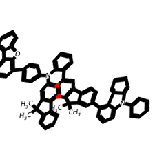 CC1(C)c2ccc(-c3ccccc3N(c3ccc(-c4cccc5c4oc4ccccc45)cc3)c3ccc4c(c3)C(C)(C)c3ccccc3-4)cc2-c2ccc(-c3cccc4c3c3ccccc3n4-c3ccccc3)cc21